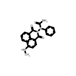 CNc1ccc2c3c(cccc13)C(=O)N(N(C(N)=S)c1ccccc1)C2=O